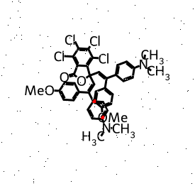 COc1ccc(/C(=C\C2(/C=C(\c3ccc(OC)cc3)c3ccc(N(C)C)cc3)OC(=O)c3c(Cl)c(Cl)c(Cl)c(Cl)c32)c2ccc(N(C)C)cc2)cc1